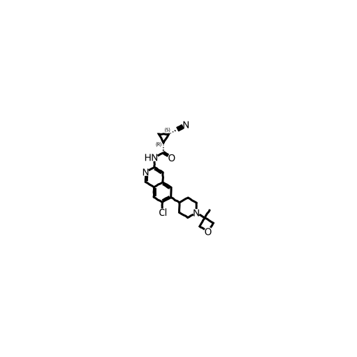 CC1(N2CCC(c3cc4cc(NC(=O)[C@@H]5C[C@@H]5C#N)ncc4cc3Cl)CC2)COC1